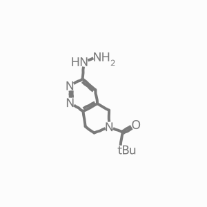 CC(C)(C)C(=O)N1CCc2nnc(NN)cc2C1